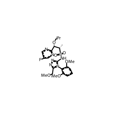 COCc1nnc(NS(=O)(=O)[C@@H](C)[C@@H](OC(C)C)c2ncc(F)cn2)n1-c1c(OC)cccc1OC